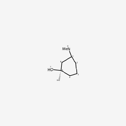 CNC1CCC[C@@](C)(O)C1